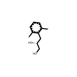 OC[C@H](O)Cc1c(I)[c]ccc1F